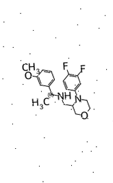 COc1cccc([C@@H](C)NCC2COCCN2c2ccc(F)c(F)c2)c1